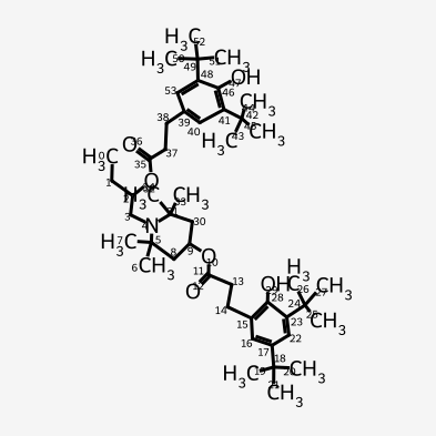 CCC(CN1C(C)(C)CC(OC(=O)CCc2cc(C(C)(C)C)cc(C(C)(C)C)c2O)CC1(C)C)OC(=O)CCc1cc(C(C)(C)C)c(O)c(C(C)(C)C)c1